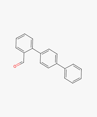 O=Cc1ccccc1-c1ccc(-c2ccccc2)cc1